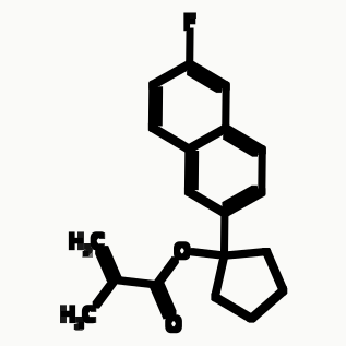 C=C(C)C(=O)OC1(c2ccc3cc(F)ccc3c2)CCCC1